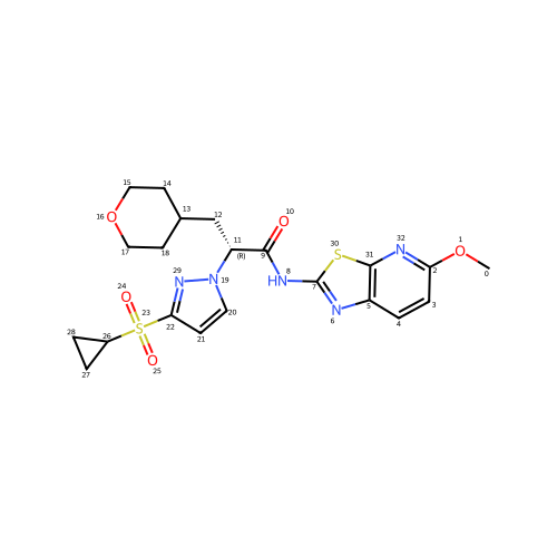 COc1ccc2nc(NC(=O)[C@@H](CC3CCOCC3)n3ccc(S(=O)(=O)C4CC4)n3)sc2n1